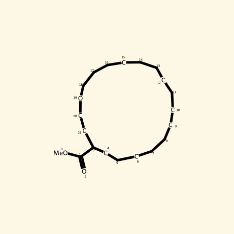 COC(=O)C1CCCCCCCCCCCCCCCOCC1